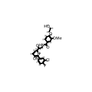 COc1cc(C(=O)NCC(=O)c2ccc(OC)c(-c3ccc(F)c(Cl)c3)n2)ccc1OCCO